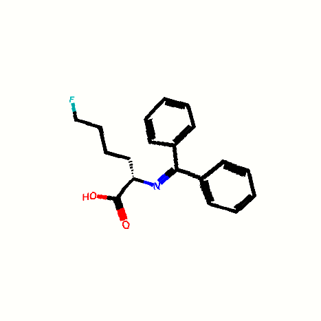 O=C(O)[C@H](CCCCF)N=C(c1ccccc1)c1ccccc1